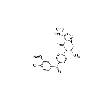 COc1cc(C(=O)c2ccc(N3C(=O)c4c(NC(=O)O)cnn4CC3C)cc2)ccc1Cl